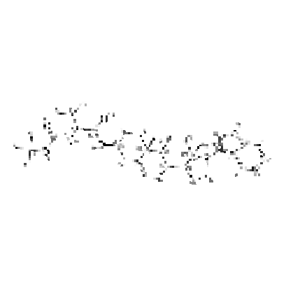 CC(C)C(NC(=O)OC(C)(C)C)C(=O)O[C@H]1CC[C@@]2(C)C(=CCC3C2CC[C@]2(C)C(n4cnc5ccccc54)=CCC32)C1